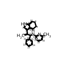 C=C(c1c[nH]c2c1=CCCC=2)C(Nc1nccc(C)n1)c1ccccc1